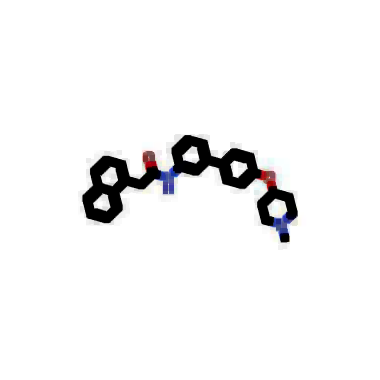 CN1CCC(Oc2ccc(-c3cccc(NC(=O)Cc4cccc5ccccc45)c3)cc2)CC1